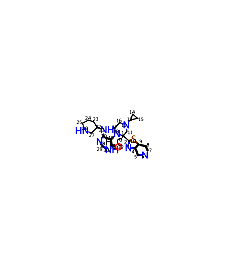 CC1(c2nc3cnccc3s2)CN(C2CC2)CCN1c1c(NC2CCCNC2)nc[nH]c1=O